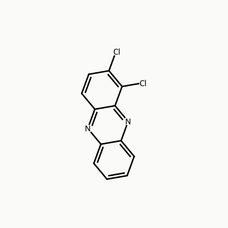 Clc1ccc2nc3ccccc3nc2c1Cl